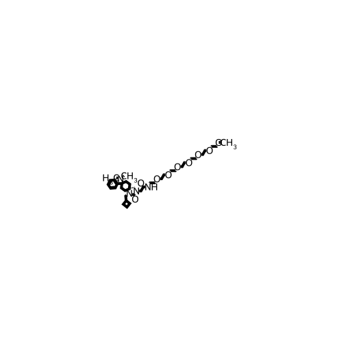 COCCOCCOCCOCCOCCOCCOCCNC(=O)CN1C[C@]2(CC[C@@](c3ccccc3)(N(C)C)CC2)N(CC2CCC2)C1=O